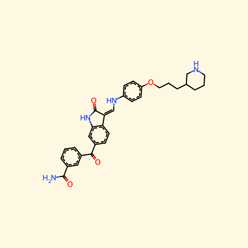 NC(=O)c1cccc(C(=O)c2ccc3c(c2)NC(=O)C3=CNc2ccc(OCCCC3CCCNC3)cc2)c1